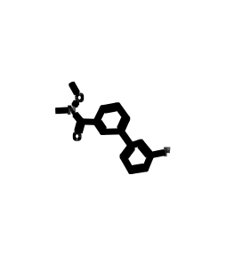 CON(C)C(=O)c1cccc(-c2cccc(F)c2)c1